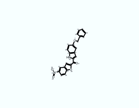 O=C(c1cc2cc(OCc3ccccc3)ccc2[nH]1)c1cc2cc([N+](=O)[O-])ccc2o1